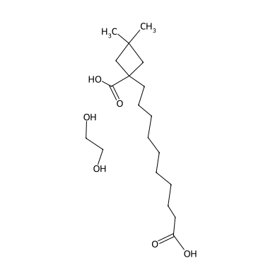 CC1(C)CC(CCCCCCCCCC(=O)O)(C(=O)O)C1.OCCO